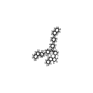 c1cc(-c2cccc3c2ccc2ccccc23)cc(N(c2ccc(-c3ccc(-c4ccc5ccccc5c4)cc3)cc2)c2ccc(-c3ccc4c(ccc5ccccc54)c3)cc2)c1